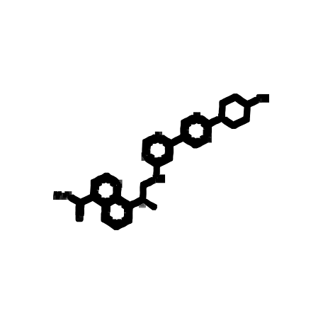 CNC(=O)c1ccnc2c([C@H](C)CNc3cc(-c4cnc(N5CCC(O)CC5)nc4)ncn3)cccc12